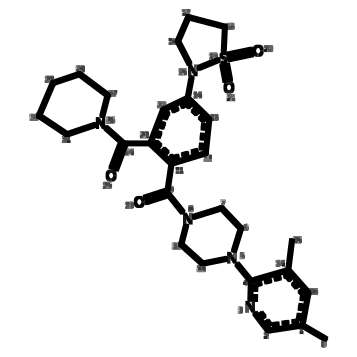 Cc1cnc(N2CCN(C(=O)c3ccc(N4CCCS4(=O)=O)cc3C(=O)N3CCCCC3)CC2)c(C)c1